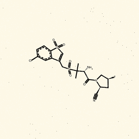 CC(C)([C@H](N)C(=O)N1C[C@@H](F)C[C@H]1C#N)S(=O)(=O)CC1=CS(=O)(=O)c2ccc(Cl)cc21